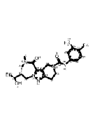 CC[C@H](O)[C@@H]1CN(C)C(=O)c2c3c(nn2C1)CCN(C(=O)Nc1ccc(F)c(C(F)(F)F)c1)C3